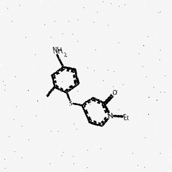 CCn1ccc(Sc2ccc(N)cc2C)cc1=O